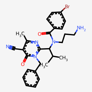 Cc1nc(C(C(C)C)N(CCCN)C(=O)c2ccc(Br)cc2)n(Cc2ccccc2)c(=O)c1C#N